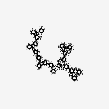 c1ccc(-n2c3ccccc3c3cc(-c4ccc5c(c4)c4ccccc4n5-c4ccc(-c5ccc(-n6c7ccccc7c7cc(-c8ccc9c(c8)c8ccccc8n9-c8cc9c%10c(c8)Oc8cc(-c%11cc%12c%13c(c%11)Oc%11ccccc%11N%13c%11ccccc%11O%12)ccc8N%10c8ccc(-c%10cc%11c%12c(c%10)Oc%10ccccc%10N%12c%10ccccc%10O%11)cc8O9)ccc76)cc5)cc4)ccc32)cc1